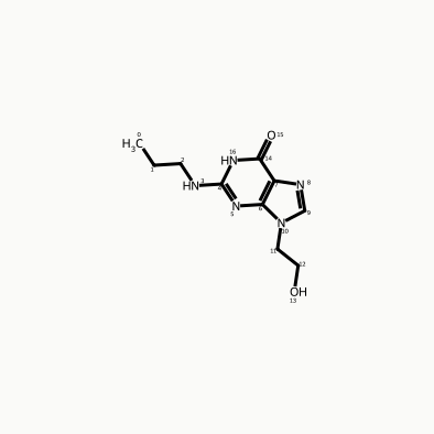 CCCNc1nc2c(ncn2CCO)c(=O)[nH]1